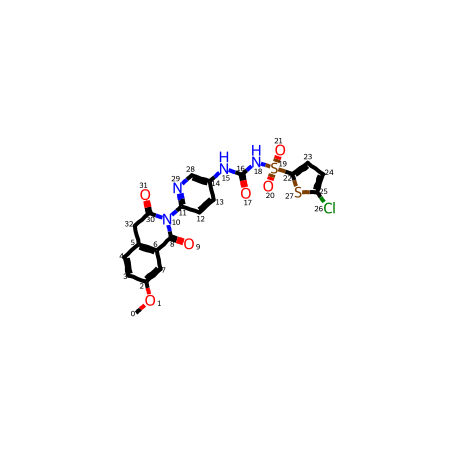 COc1ccc2c(c1)C(=O)N(c1ccc(NC(=O)NS(=O)(=O)c3ccc(Cl)s3)cn1)C(=O)C2